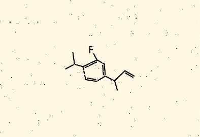 C=C[C](C)c1ccc(C(C)C)c(F)c1